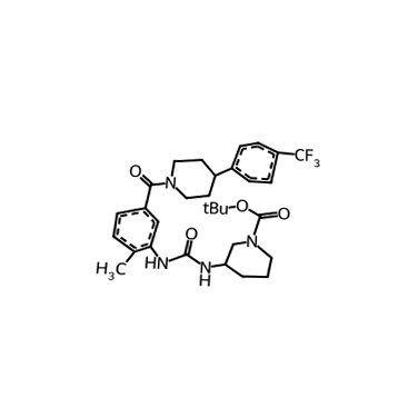 Cc1ccc(C(=O)N2CCC(c3ccc(C(F)(F)F)cc3)CC2)cc1NC(=O)NC1CCCN(C(=O)OC(C)(C)C)C1